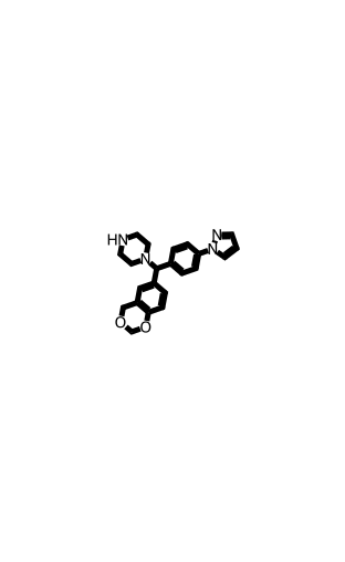 c1cnn(-c2ccc(C(c3ccc4c(c3)COCO4)N3CCNCC3)cc2)c1